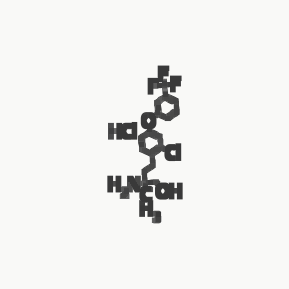 CC(N)(CO)CCc1ccc(Oc2cccc(C(F)(F)F)c2)cc1Cl.Cl